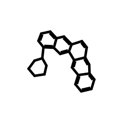 c1ccc2cc3c(ccc4cc5cccc(C6CCCCC6)c5cc43)cc2c1